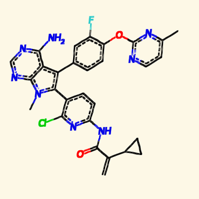 C=C(C(=O)Nc1ccc(-c2c(-c3ccc(Oc4nccc(C)n4)c(F)c3)c3c(N)ncnc3n2C)c(Cl)n1)C1CC1